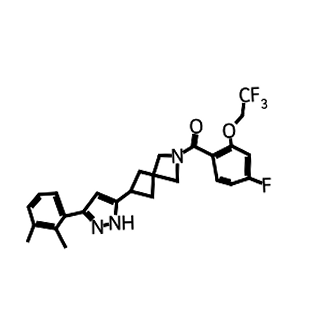 Cc1cccc(-c2cc(C3CC4(C3)CN(C(=O)c3ccc(F)cc3OCC(F)(F)F)C4)[nH]n2)c1C